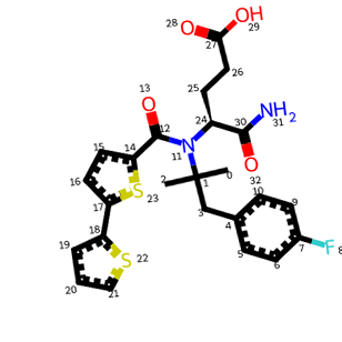 CC(C)(Cc1ccc(F)cc1)N(C(=O)c1ccc(-c2cccs2)s1)[C@@H](CCC(=O)O)C(N)=O